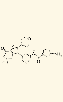 CC1(C)CC(=O)c2sc(N3CCOCC3)c(-c3cccc(NC(=O)N4CCC(N)C4)c3)c2C1